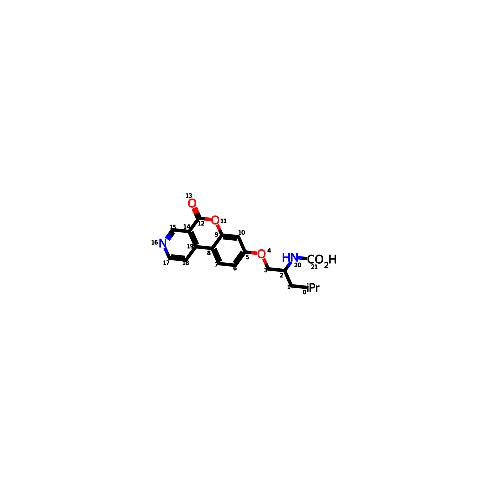 CC(C)CC(COc1ccc2c(c1)oc(=O)c1cnccc12)NC(=O)O